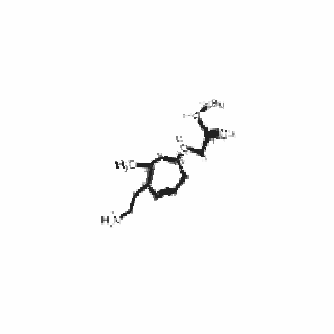 CC1=C(CCN)C=CCC(OCC(=O)OC(C)(C)C)=C1